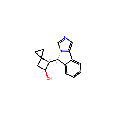 O[C@H]1CC2(CC2)[C@H]1[C@H]1c2ccccc2-c2cncn21